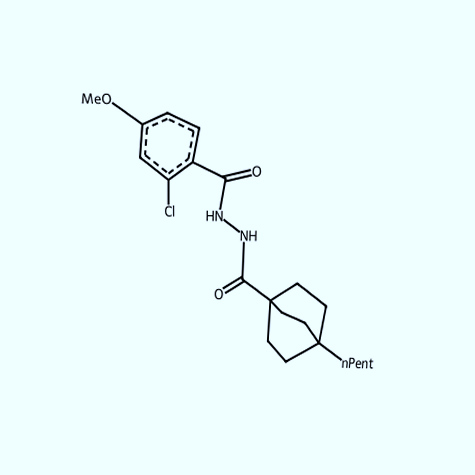 CCCCCC12CCC(C(=O)NNC(=O)c3ccc(OC)cc3Cl)(CC1)CC2